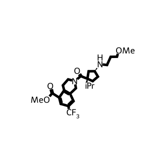 COCCCN[C@@H]1CC[C@@](C(=O)N2CCc3c(cc(C(F)(F)F)cc3C(=O)OC)C2)(C(C)C)C1